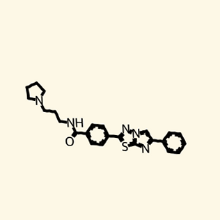 O=C(NCCCN1CCCC1)c1ccc(-c2nn3cc(-c4ccccc4)nc3s2)cc1